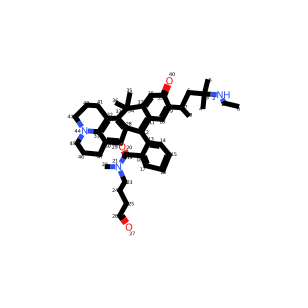 CCNC(C)(C)CC(C)C1=CC2=C(c3ccccc3C(=O)N(C)CCCC=O)c3cc4c5c(c3C(C)(C)C2=CC1=O)CCCN5CCC4